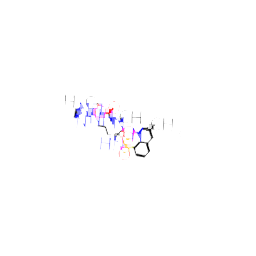 CCOC(=O)CN(C)C(=O)[C@H](CCCNc1ncc[nH]1)NS(=O)(=O)c1cccc2cc(C)cnc12